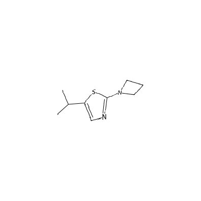 CC(C)c1cnc(N2CCC2)s1